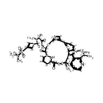 CCn1c(-c2cccnc2[C@H](C)OC)c2c3cc(ccc31)-c1csc(n1)C[C@H](NC(=O)[C@H](C(C)C)N(C)C(=O)N1CC(S(=O)(=O)N(C)C)C1)C(=O)N1CCC[C@@](O)(N1)C(=O)OCC(C)(C)C2